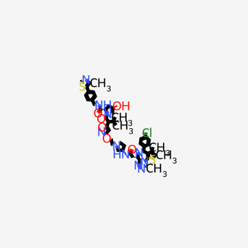 Cc1ncsc1-c1ccc(CNC(=O)[C@@H]2C[C@@H](O)CN2C(=O)C(c2cc(OCCN3CC[C@@H](NC(=O)C[C@@H]4N=C(c5ccc(Cl)cc5)c5c(sc(C)c5C)-n5c(C)nnc54)C3)no2)C(C)C)cc1